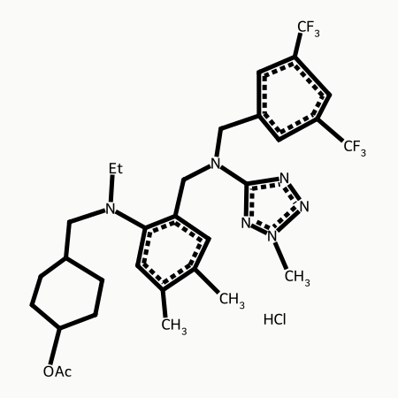 CCN(CC1CCC(OC(C)=O)CC1)c1cc(C)c(C)cc1CN(Cc1cc(C(F)(F)F)cc(C(F)(F)F)c1)c1nnn(C)n1.Cl